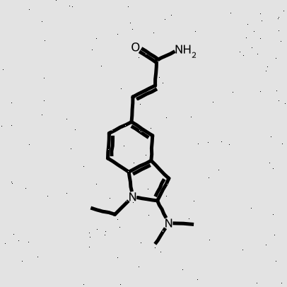 CCn1c(N(C)C)cc2cc(C=CC(N)=O)ccc21